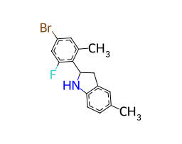 Cc1ccc2c(c1)CC(c1c(C)cc(Br)cc1F)N2